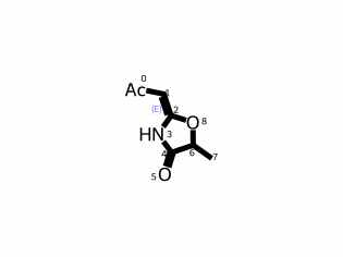 CC(=O)/C=C1\NC(=O)C(C)O1